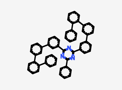 c1ccc(-c2nc(-c3cccc(-c4cccc(-c5ccccc5-c5ccccc5)c4)c3)nc(-c3cccc(-c4cccc(-c5ccccc5-c5ccccc5)c4)c3)n2)cc1